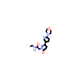 CCNC(=O)Cn1nc(-c2ccc(N3CCOCC3)nc2)ccc1=O